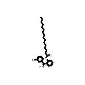 CCCCCCCCCCCCCCCC(=O)Oc1ccccc1C(=N)c1cccc(Cl)c1